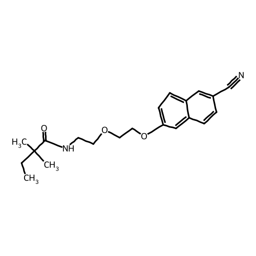 CCC(C)(C)C(=O)NCCOCCOc1ccc2cc(C#N)ccc2c1